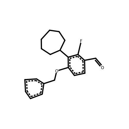 O=Cc1ccc(OCc2ccccc2)c(C2CCCCCC2)c1F